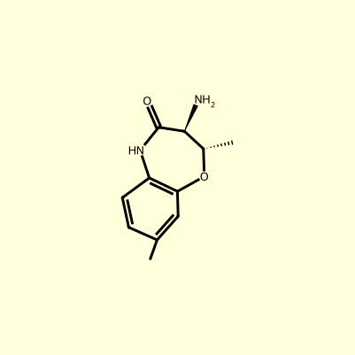 Cc1ccc2c(c1)O[C@@H](C)[C@H](N)C(=O)N2